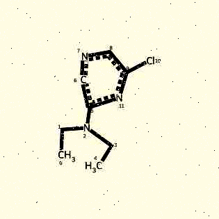 CCN(CC)c1cncc(Cl)n1